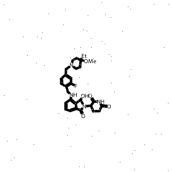 CCC1(OC)CCN(Cc2ccc(CNc3cccc4c3C(O)N(C3CCC(=O)NC3=O)C4=O)c(F)c2)CC1